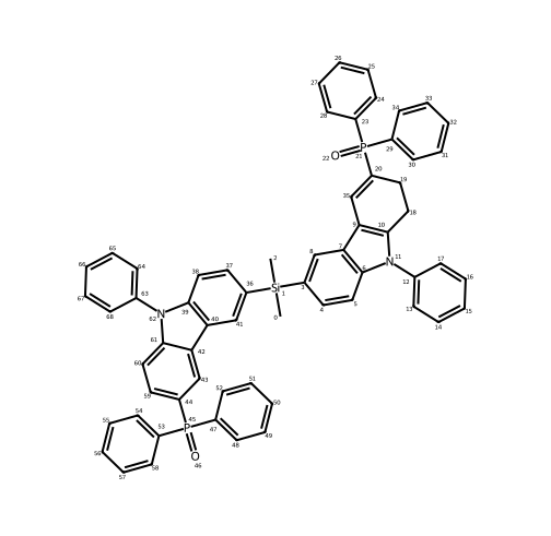 C[Si](C)(c1ccc2c(c1)c1c(n2-c2ccccc2)CCC(P(=O)(c2ccccc2)c2ccccc2)=C1)c1ccc2c(c1)c1cc(P(=O)(c3ccccc3)c3ccccc3)ccc1n2-c1ccccc1